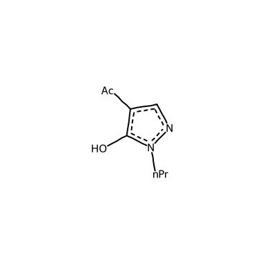 CCCn1ncc(C(C)=O)c1O